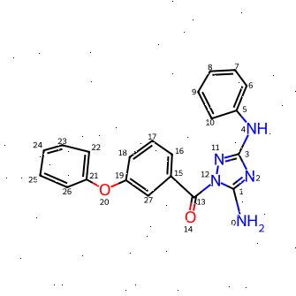 Nc1nc(Nc2ccccc2)nn1C(=O)c1cccc(Oc2ccccc2)c1